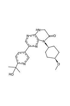 CO[C@H]1CC[C@@H](N2C(=O)CNc3ncc(-c4ccc(C(C)(C)O)nc4)nc32)CC1